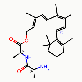 CC(C=CC(C)=C(C)/C=C/C1=C(C)CCCC1(C)C)=CCOC(=O)[C@H](C)NC(=O)[C@H](C)N